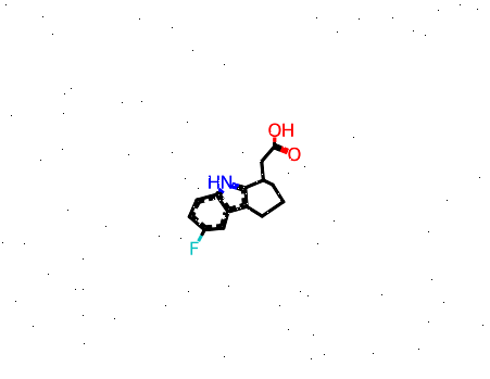 O=C(O)CC1CCCc2c1[nH]c1ccc(F)cc21